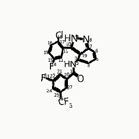 O=C(Nc1cccc2n[nH]c(-c3cc(F)ccc3Cl)c12)c1cc(F)cc(C(F)(F)F)c1